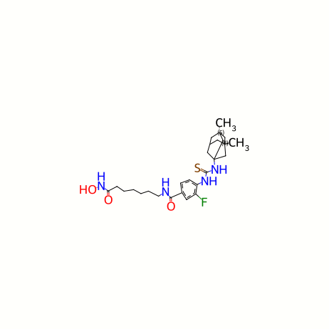 C[C@]12CC3CC(NC(=S)Nc4ccc(C(=O)NCCCCCCC(=O)NO)cc4F)(C1)C[C@@](C)(C3)C2